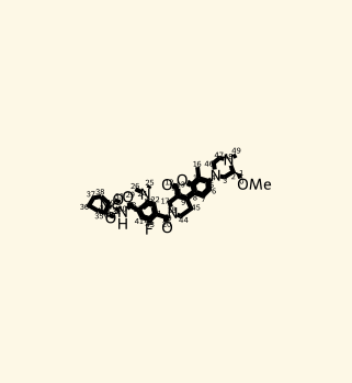 COC[C@H]1CN(c2ccc3c4c(c(=O)oc3c2C)CN(C(=O)c2cc(N(C)C)c(C(=O)NS(=O)(=O)N3C5CCC3CC5)cc2F)CC4)CCN1C